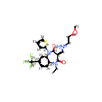 CCN1C(=O)/C(=C/NCCOC)C(=O)N(c2cccs2)c2cc(C(F)(F)F)ccc21